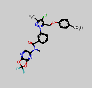 CN(C(=O)c1cccc(-n2nc(C(F)(F)F)c(Cl)c2COc2ccc(C(=O)O)cc2)c1)c1cnc2c(n1)OC(F)(F)O2